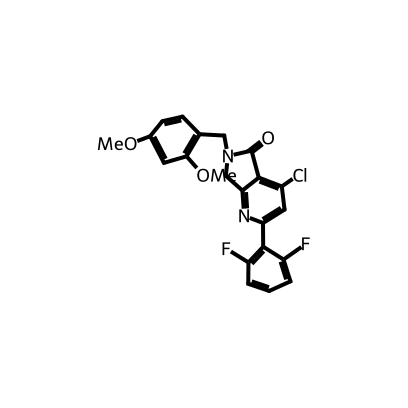 COc1ccc(CN2Cc3nc(-c4c(F)cccc4F)cc(Cl)c3C2=O)c(OC)c1